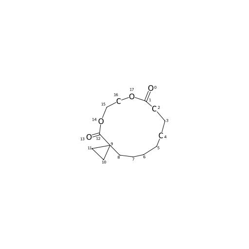 O=C1CCCCCCCC2(CC2)C(=O)OCCO1